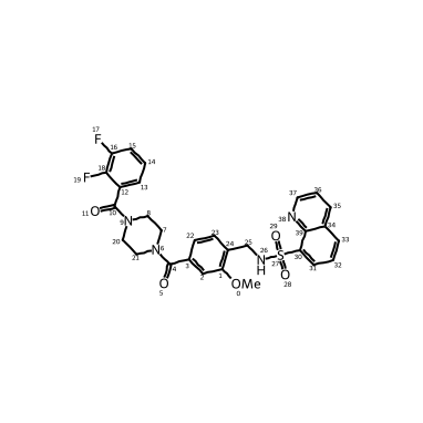 COc1cc(C(=O)N2CCN(C(=O)c3cccc(F)c3F)CC2)ccc1CNS(=O)(=O)c1cccc2cccnc12